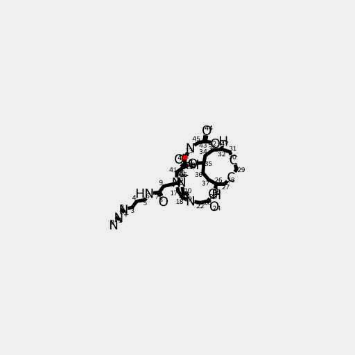 [N-]=[N+]=NCCCNC(=O)CN1CCN2CCN3CCN(CC1)CC(=O)O[C@H]1CCCCC[C@H](CC[C@H](CC1)OC(=O)C3)OC(=O)C2